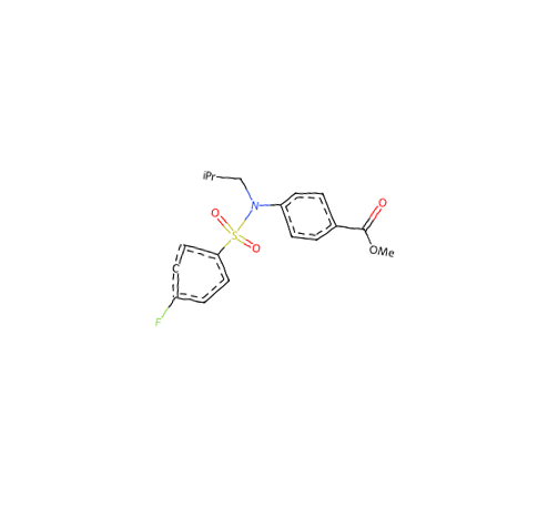 COC(=O)c1ccc(N(CC(C)C)S(=O)(=O)c2ccc(F)cc2)cc1